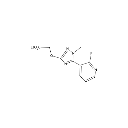 CCOC(=O)COc1nc(-c2cccnc2F)n(C)n1